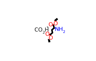 C=COC(=O)CC[C@H](N)C(=O)OC=C.CC(=O)O